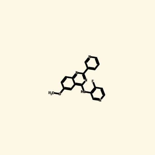 COc1ccc2nc(-c3cccnc3)nc(Nc3cnccc3F)c2c1